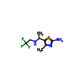 Cc1nc(N)sc1C(C)NCC(F)(F)F